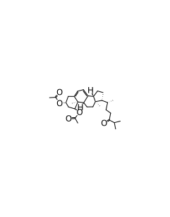 CC(=O)O[C@@H]1CC2=CC=C3[C@@H]4CC[C@H]([C@H](C)CCC(=O)C(C)C)[C@@]4(C)CC[C@@H]3[C@@]2(C)[C@@H](OC(C)=O)C1